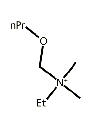 CCCOC[N+](C)(C)CC